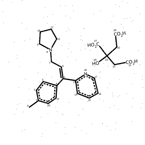 Cc1ccc(/C(=C\CN2CCCC2)c2ccccn2)cc1.O=C(O)CC(O)(CC(=O)O)C(=O)O